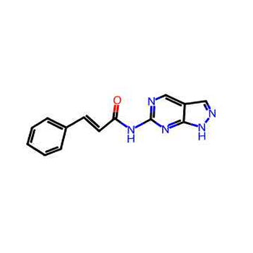 O=C(C=Cc1ccccc1)Nc1ncc2cn[nH]c2n1